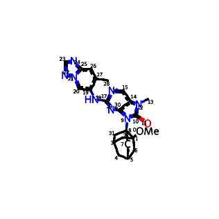 COC12CC3CC(C1)CC2(n1c(=O)n(C)c2cnc(Nc4cn5ncnc5cc4C)nc21)C3